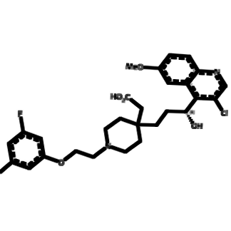 COc1ccc2ncc(Cl)c([C@H](O)CCC3(CC(=O)O)CCN(CCOc4cc(F)cc(F)c4)CC3)c2c1